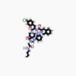 CCCCNC(=O)CN1CN(c2ccccc2)C2(CCN(C(=O)C(Cc3ccc(Cl)cc3)NC(=O)C3Cc4ccccc4CN3)CC2)C1=O